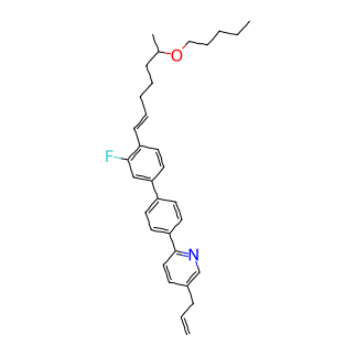 C=CCc1ccc(-c2ccc(-c3ccc(C=CCCCC(C)OCCCCC)c(F)c3)cc2)nc1